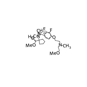 C=[N+](c1ccc(OCCN(C)CCOC)c(F)c1F)N(C)C1(C(=O)OC)CCCC1